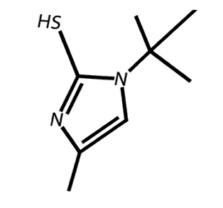 Cc1cn(C(C)(C)C)c(S)n1